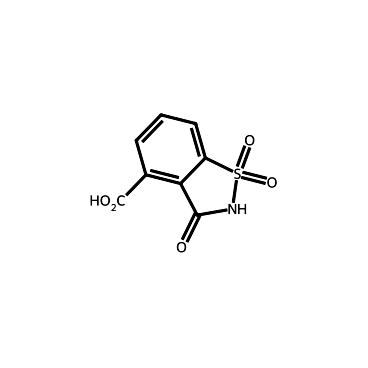 O=C(O)c1cccc2c1C(=O)NS2(=O)=O